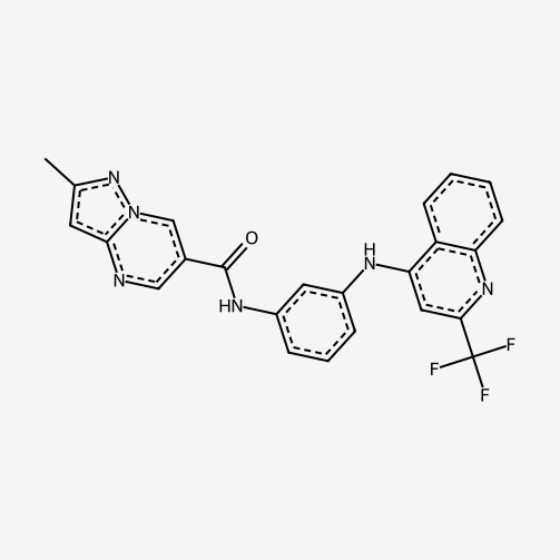 Cc1cc2ncc(C(=O)Nc3cccc(Nc4cc(C(F)(F)F)nc5ccccc45)c3)cn2n1